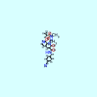 CNS(=O)(=O)C1(COc2nccc3cc(C(=O)NCc4ccc(C#N)cc4)c(=O)n(C)c23)CC1